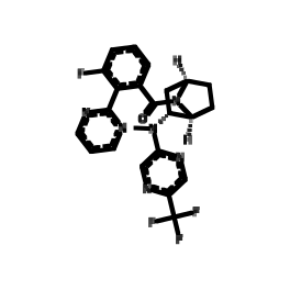 CN(c1cnc(C(F)(F)F)cn1)[C@@H]1C[C@H]2CC[C@@H]1N2C(=O)c1cccc(F)c1-c1ncccn1